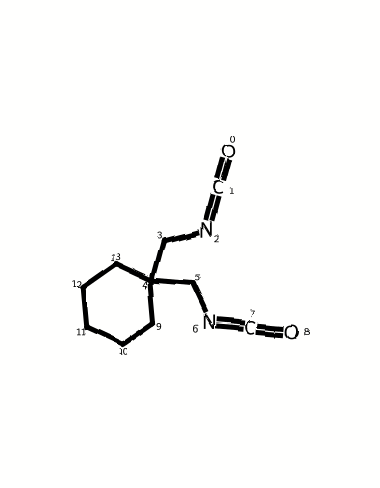 O=C=NCC1(CN=C=O)CCCCC1